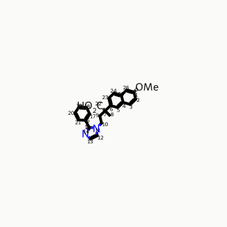 COc1ccc2cc(C(C)(CCn3ccnc3-c3ccccc3)C(=O)O)ccc2c1